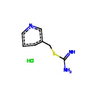 Cl.N=C(N)SCc1cccnc1